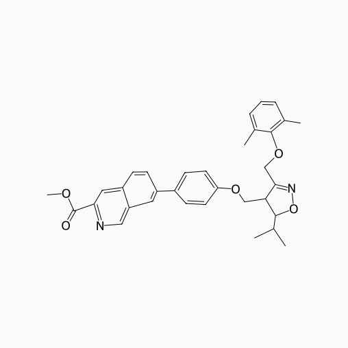 COC(=O)c1cc2ccc(-c3ccc(OCC4C(COc5c(C)cccc5C)=NOC4C(C)C)cc3)cc2cn1